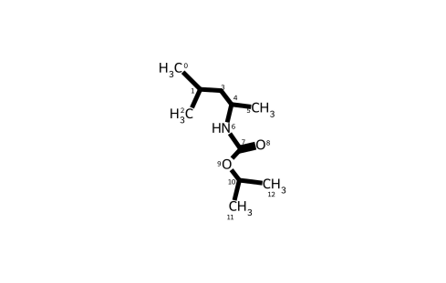 CC(C)CC(C)NC(=O)OC(C)C